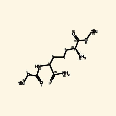 CC(C)(C)OC(=O)NC(CCC[C@H](N)C(=O)OC(C)(C)C)C(N)=S